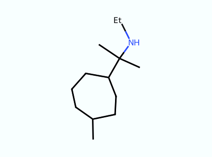 CCNC(C)(C)C1CCCC(C)CC1